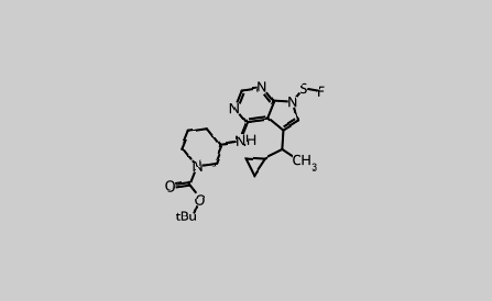 CC(c1cn(SF)c2ncnc(NC3CCCN(C(=O)OC(C)(C)C)C3)c12)C1CC1